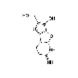 N=C1CCN2c3oc(CO)c(O)c3OC2N1